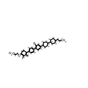 C=CCOc1ccc(-c2ccc(-c3ccc(C4CCC(C5CCC(CCC)CC5)CC4)cc3F)cc2)c(F)c1F